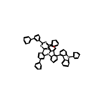 c1ccc(-c2cccc(-c3nc(-c4ccccc4)nc(-c4ccc(-c5ccccc5)cc4-n4c5ccccc5c5c(-c6cccc7c6c6ccccc6n7-c6ccccc6)cccc54)n3)c2)cc1